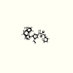 CC[C@@H]1C[C@H](NS(=O)(=O)CC2CCCO2)C[C@@H]1c1nnc2cnc3[nH]ccc3n12